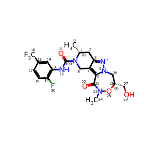 C[C@@H]1Cc2nn3c(c2CN1C(=O)Nc1cc(C(F)(F)F)ccc1F)C(=O)N(C)O[C@@H](CO)C3